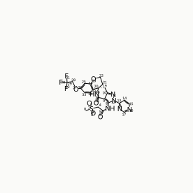 CS(=O)(=O)CC(=O)Nc1c2c(nn1-c1ccncn1)C[C@]1(CCOc3cc(OCC(F)(F)F)ccc31)NC2=O